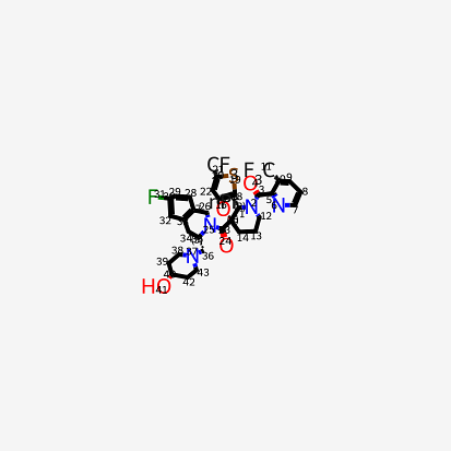 CCC[C@H]1N(C(=O)c2ncccc2C(F)(F)F)CCC[C@@]1(Oc1csc(C(F)(F)F)c1)C(=O)N1Cc2ccc(F)cc2C[C@H]1CN1CCC(O)CC1